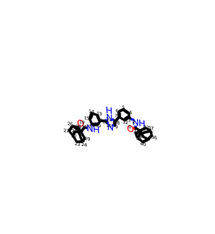 O=C(Nc1cccc(-c2cnc(-c3cccc(NC(=O)C45CC6CC(CC(C6)C4)C5)c3)[nH]2)c1)C12CC3CC(CC(C3)C1)C2